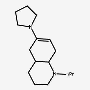 CCCN1CCCC2CC(N3CCCC3)=CCC21